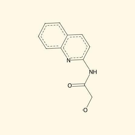 [O]CC(=O)Nc1ccc2ccccc2n1